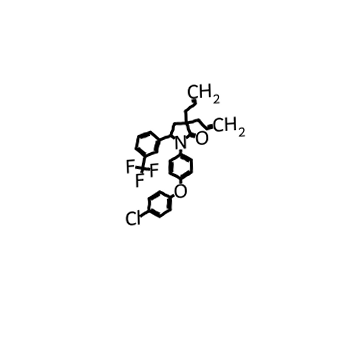 C=CCC1(CC=C)CC(c2cccc(C(F)(F)F)c2)N(c2ccc(Oc3ccc(Cl)cc3)cc2)C1=O